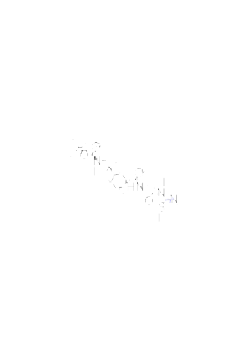 C/N=C(\S)NC(=O)CNC(=O)c1cccc(C(C)(C)CNC(=O)OC(C)(C)C)c1